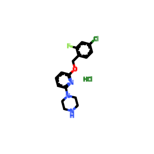 Cl.Fc1cc(Cl)ccc1COc1cccc(N2CCNCC2)n1